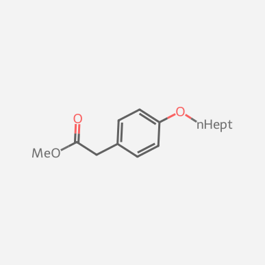 CCCCCCCOc1ccc(CC(=O)OC)cc1